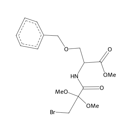 COC(=O)C(COCc1ccccc1)NC(=O)C(CBr)(OC)OC